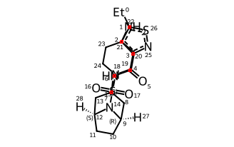 CCc1cc(C(=O)N[C@H]2C[C@H]3CC[C@@H](C2)N3S(=O)(=O)N2CCC(N)CC2)ns1